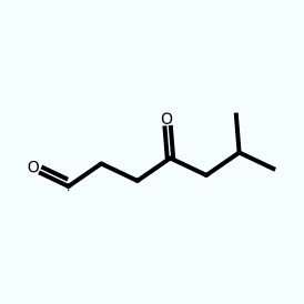 CC(C)CC(=O)CC[C]=O